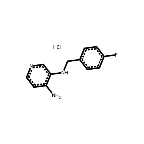 Cl.Nc1ccncc1NCc1ccc(F)cc1